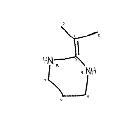 CC(C)=C1NCCCN1